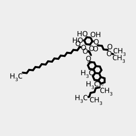 CCCCCCCCCCCCCCCCCCCC(=O)OC1C(O)C(O)C(O)C(OC(=O)CCC(=O)OC(C)C)C1OC(=O)CO[C@H]1CCC2(C)C(CCC3C2CC[C@@]2(C)C3CC[C@@H]2C(C)CCCC(C)C)C1